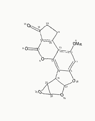 COc1cc2c(c3oc(=O)c4c(c13)CCC4=O)C1C(O2)OC2OC21